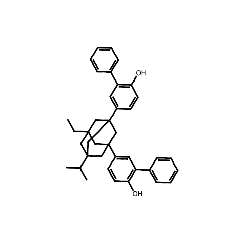 CCC12CC3(c4ccc(O)c(-c5ccccc5)c4)CC(c4ccc(O)c(-c5ccccc5)c4)(C1)CC(C(C)C)(C2)C3